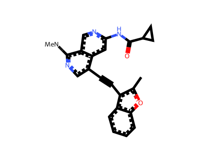 CNc1ncc(C#Cc2c(C)oc3ccccc23)c2cc(NC(=O)C3CC3)ncc12